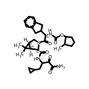 CC1CCCC1OC(=O)N[C@H](C(=O)N1C[C@H]2[C@@H]([C@H]1C(=O)NC(CC1CC1)C(=O)C(N)=O)C2(C)C)C1Cc2ccccc2C1